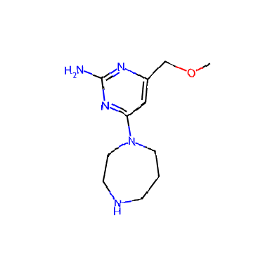 COCc1cc(N2CCCNCC2)nc(N)n1